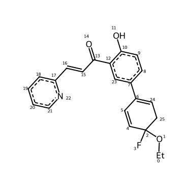 CCOC1(F)C=CC(c2ccc(O)c(C(=O)C=Cc3ccccn3)c2)=CC1